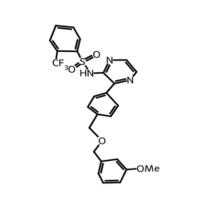 COc1cccc(COCc2ccc(-c3nccnc3NS(=O)(=O)c3ccccc3C(F)(F)F)cc2)c1